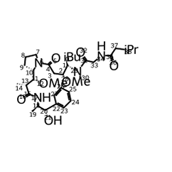 CC[C@H](C)[C@@H]([C@@H](CC(=O)N1CCC[C@H]1[C@H](OC)[C@@H](C)C(=O)N[C@H](C)[C@@H](O)c1ccccc1)OC)N(C)C(=O)CNC(=O)CC(C)C